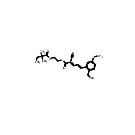 CCC(C)(C)C(=O)OCCOC(=O)/C(C#N)=C/C=C/c1cc(OC)ccc1CO